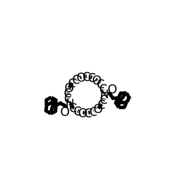 O=C(CC12CC3CC(CC(C3)C1)C2)N1CCOCCOCCOCCN(C(=O)CC23CC4CC(CC(C4)C2)C3)CCOCCOCC1